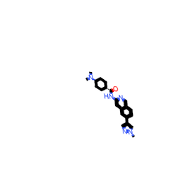 Cn1cc(-c2ccc3cnc(NC(=O)[C@H]4CC[C@H](N(C)C)CC4)cc3c2)cn1